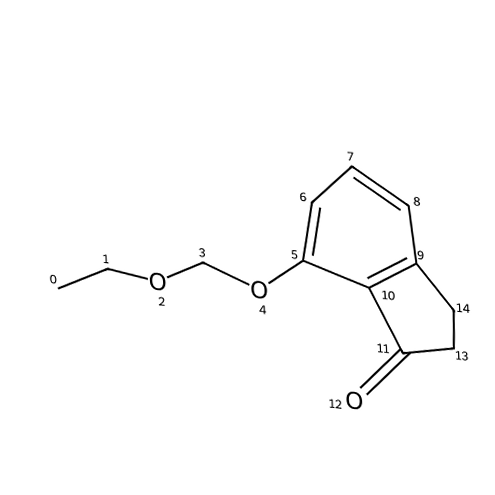 CCOCOc1cccc2c1C(=O)CC2